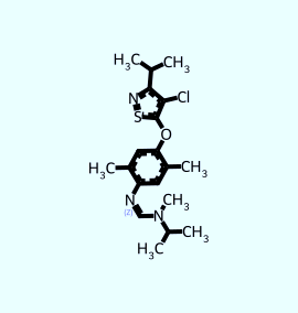 Cc1cc(Oc2snc(C(C)C)c2Cl)c(C)cc1/N=C\N(C)C(C)C